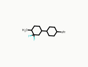 CCCC1CCC(C2CCC(C)C(F)(F)C2)CC1